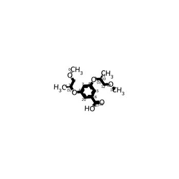 COC[C@H](C)Oc1cc(O[C@@H](C)COC)cc(C(=O)O)c1